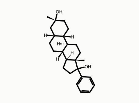 C[C@@]1(O)CC[C@H]2[C@H](CC[C@@H]3[C@@H]2CC[C@@]2(C)[C@H]3CCC2(O)c2ccccc2)C1